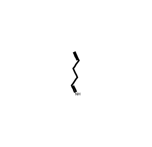 C=CCCC=N